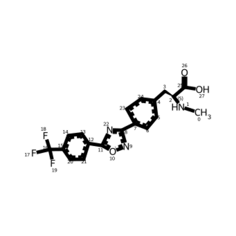 CN[C@@H](Cc1ccc(-c2noc(-c3ccc(C(F)(F)F)cc3)n2)cc1)C(=O)O